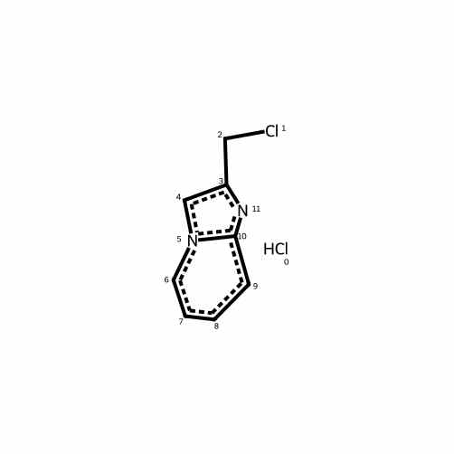 Cl.ClCc1cn2ccccc2n1